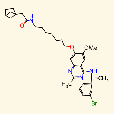 COc1cc2c(N[C@H](C)c3cccc(Br)c3)nc(C)nc2cc1OCCCCCCCNC(=O)CC12CCC(C1)C2